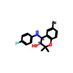 CC(=O)c1ccc2c(c1)[C@H](Nc1ccc(F)cc1)[C@@H](O)C(C)(C)O2